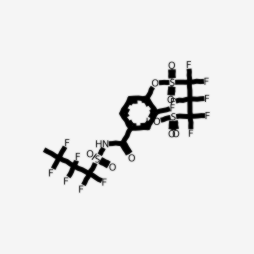 CC(F)(F)C(F)(F)C(F)(F)S(=O)(=O)NC(=O)c1ccc(OS(=O)(=O)C(F)(F)C(F)(F)C(F)(F)S(=O)(=O)O)c(F)c1